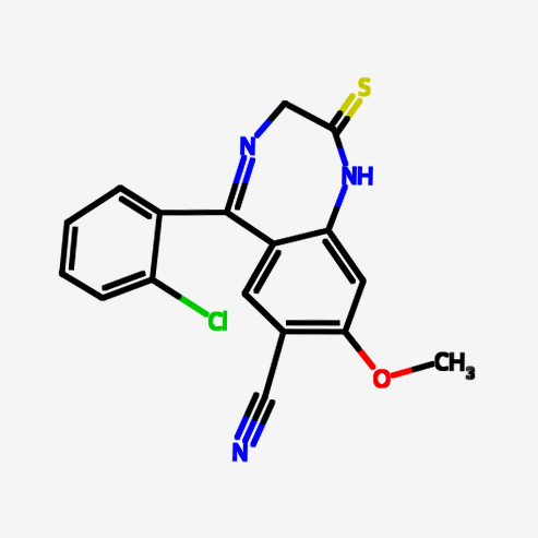 COc1cc2c(cc1C#N)C(c1ccccc1Cl)=NCC(=S)N2